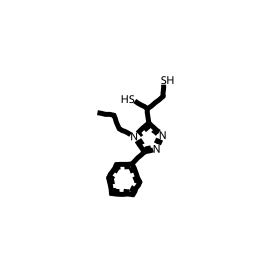 CCCn1c(-c2ccccc2)nnc1C(S)CS